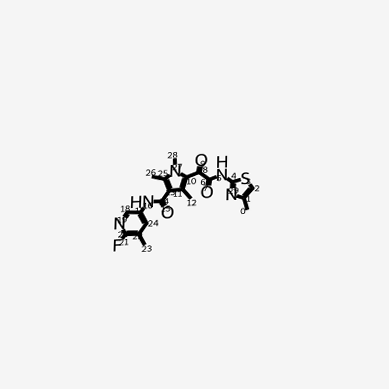 Cc1csc(NC(=O)C(=O)c2c(C)c(C(=O)Nc3cnc(F)c(C)c3)c(C)n2C)n1